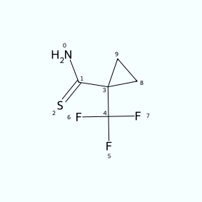 NC(=S)C1(C(F)(F)F)CC1